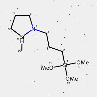 CO[Si](CCCN1CCC[SiH]1C)(OC)OC